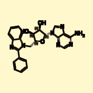 Nc1ncnc2c1ncn2[C@@H]1O[C@H](Cn2c(-c3ccccc3)nc3ccccc32)[C@@H](O)[C@H]1O